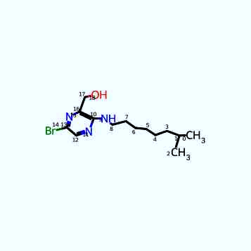 CC(C)CCCCCCNc1ncc(Br)nc1CO